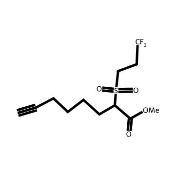 C#CCCCCC(C(=O)OC)S(=O)(=O)CCC(F)(F)F